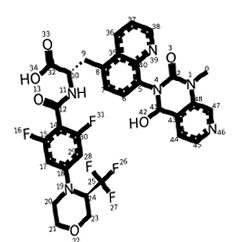 CN1C(=O)N(c2ccc(C[C@H](NC(=O)c3c(F)cc(N4CCOC[C@@H]4C(F)(F)F)cc3F)C(=O)O)c3cccnc23)C(O)c2ccncc21